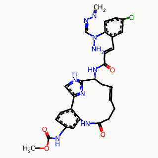 C=N/N=C\N(N)c1ccc(Cl)cc1/C=C/C(=O)N[C@H]1C/C=C/CCC(=O)Nc2cc(NC(=O)OC)ccc2-c2c[nH]c1n2